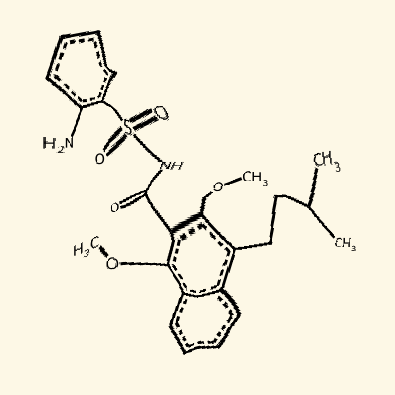 COc1c(C(=O)NS(=O)(=O)c2ccccc2N)c(OC)c2ccccc2c1CCC(C)C